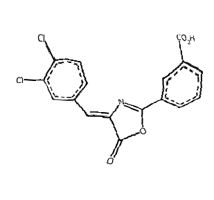 O=C1OC(c2cccc(C(=O)O)c2)=NC1=Cc1ccc(Cl)c(Cl)c1